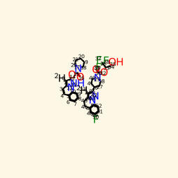 [2H]C1=C2C=Cc3ccccc3N2NC1OC(=O)N1CCCCC1.[2H]c1c(C2CCN(C(=O)OC(CO)C(F)(F)F)CC2)nn2c1CCc1cc(F)ccc1-2